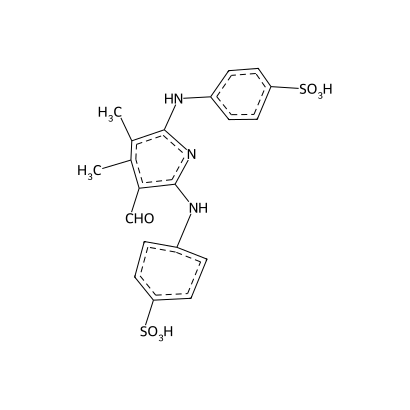 Cc1c(Nc2ccc(S(=O)(=O)O)cc2)nc(Nc2ccc(S(=O)(=O)O)cc2)c(C=O)c1C